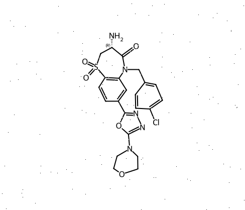 N[C@H]1CS(=O)(=O)c2ccc(-c3nnc(N4CCOCC4)o3)cc2N(Cc2ccc(Cl)cc2)C1=O